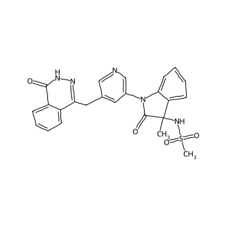 CC1(NS(C)(=O)=O)C(=O)N(c2cncc(Cc3n[nH]c(=O)c4ccccc34)c2)c2ccccc21